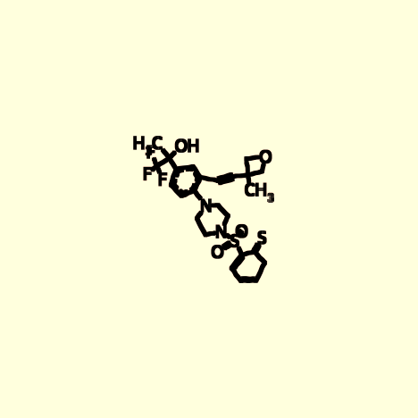 CC1(C#Cc2cc(C(C)(O)C(F)(F)F)ccc2N2CCN(S(=O)(=O)C3=CC=CCC3=S)CC2)COC1